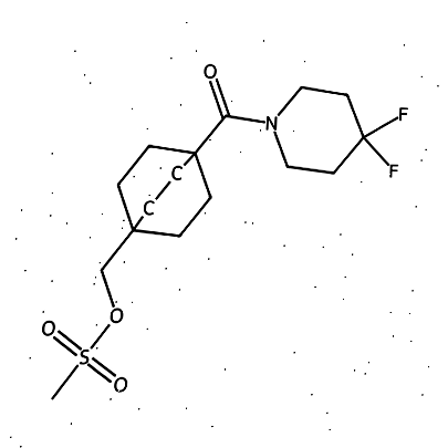 CS(=O)(=O)OCC12CCC(C(=O)N3CCC(F)(F)CC3)(CC1)CC2